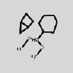 C1CC2CC12.CO[SiH](OC)C1CCCCC1